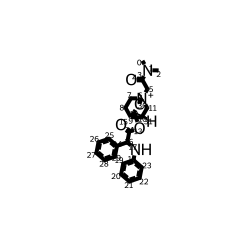 CN(C)C(=O)C[N+]12CCC(CC1)[C@@H](OC(=O)C(Nc1ccccc1)c1ccccc1)C2